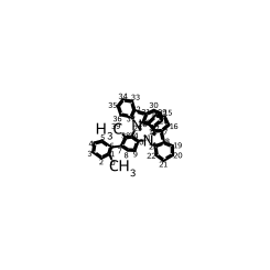 Cc1ccccc1-c1ccc(-n2c3ccccc3c3ccccc32)c(-n2c3ccccc3c3ccccc32)c1C